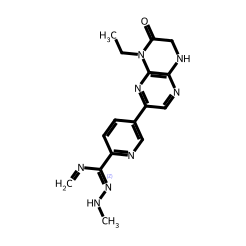 C=N/C(=N\NC)c1ccc(-c2cnc3c(n2)N(CC)C(=O)CN3)cn1